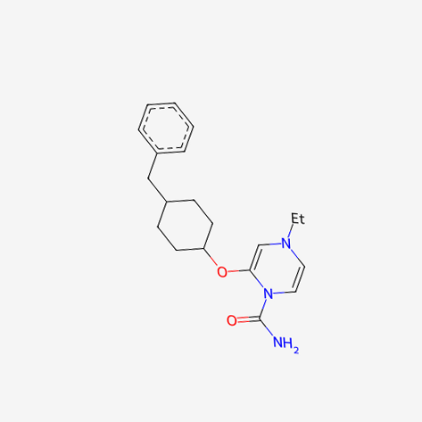 CCN1C=CN(C(N)=O)C(OC2CCC(Cc3ccccc3)CC2)=C1